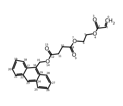 C=CC(=O)OCCOC(=O)CCC(=O)OCc1c2ccccc2cc2ccccc12